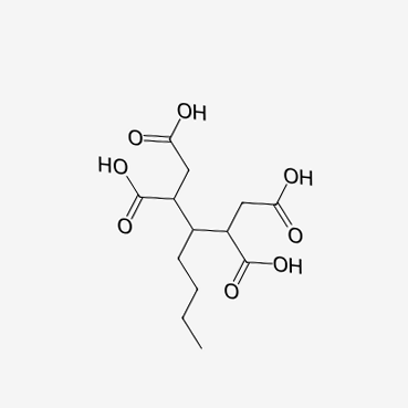 CCCCC(C(CC(=O)O)C(=O)O)C(CC(=O)O)C(=O)O